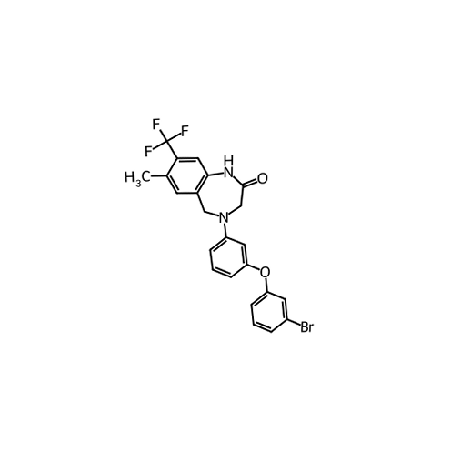 Cc1cc2c(cc1C(F)(F)F)NC(=O)CN(c1cccc(Oc3cccc(Br)c3)c1)C2